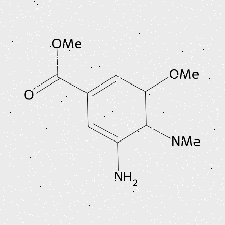 CNC1C(N)=CC(C(=O)OC)=CC1OC